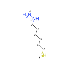 NNCCCCCCS